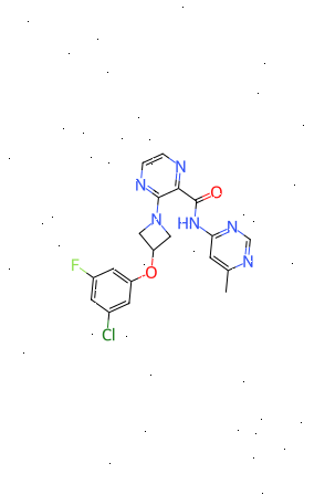 Cc1cc(NC(=O)c2nccnc2N2CC(Oc3cc(F)cc(Cl)c3)C2)ncn1